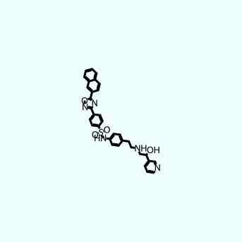 O=S(=O)(Nc1ccc(CCNCC(O)c2cccnc2)cc1)c1ccc(-c2noc(-c3ccc4ccccc4c3)n2)cc1